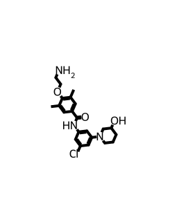 Cc1cc(C(=O)Nc2cc(Cl)cc(N3CCCC(O)C3)c2)cc(C)c1OCCN